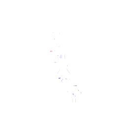 CN1C=C(c2ccc(CNC(=O)OC(C)(C)C)cn2)CN1